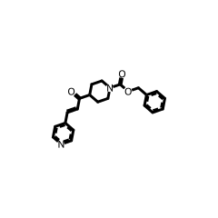 O=C(/C=C/c1ccncc1)C1CCN(C(=O)OCc2ccccc2)CC1